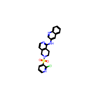 O=S(=O)(c1cccnc1Cl)N1CCc2c(ccnc2Nc2cnc3ccccc3c2)C1